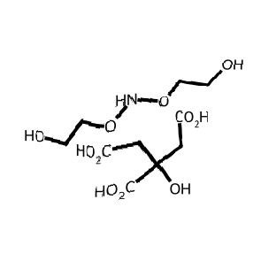 O=C(O)CC(O)(CC(=O)O)C(=O)O.OCCONOCCO